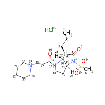 CCC[C@H]1C(=O)N(S(C)(=O)=O)[C@H]2CCN(C(=O)CCN3CCCCC3)[C@H]12.Cl